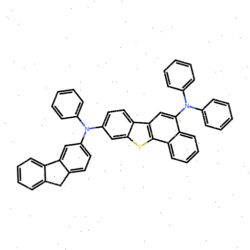 c1ccc(N(c2ccc3c(c2)-c2ccccc2C3)c2ccc3c(c2)sc2c4ccccc4c(N(c4ccccc4)c4ccccc4)cc32)cc1